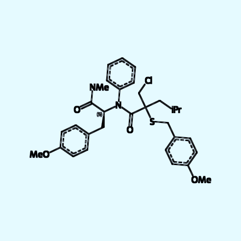 CNC(=O)[C@H](Cc1ccc(OC)cc1)N(C(=O)C(CCl)(CC(C)C)SCc1ccc(OC)cc1)c1ccccc1